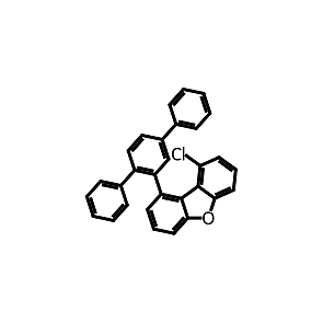 Clc1cccc2oc3cccc(-c4cc(-c5ccccc5)ccc4-c4ccccc4)c3c12